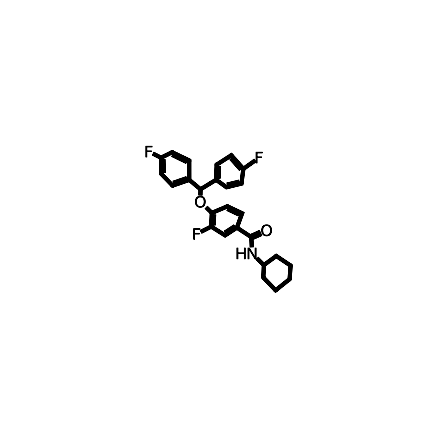 O=C(NC1CCCCC1)c1ccc(OC(c2ccc(F)cc2)c2ccc(F)cc2)c(F)c1